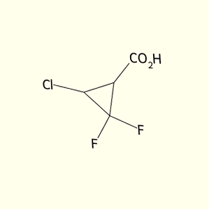 O=C(O)C1C(Cl)C1(F)F